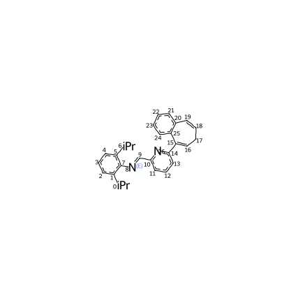 CC(C)c1cccc(C(C)C)c1/N=C/c1cccc(C2=CCC=Cc3ccccc32)n1